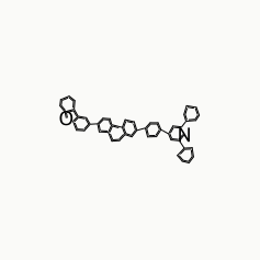 c1ccc(-c2cc(-c3ccc(-c4ccc5c(ccc6cc(-c7ccc8oc9ccccc9c8c7)ccc65)c4)cc3)cc(-c3ccccc3)n2)cc1